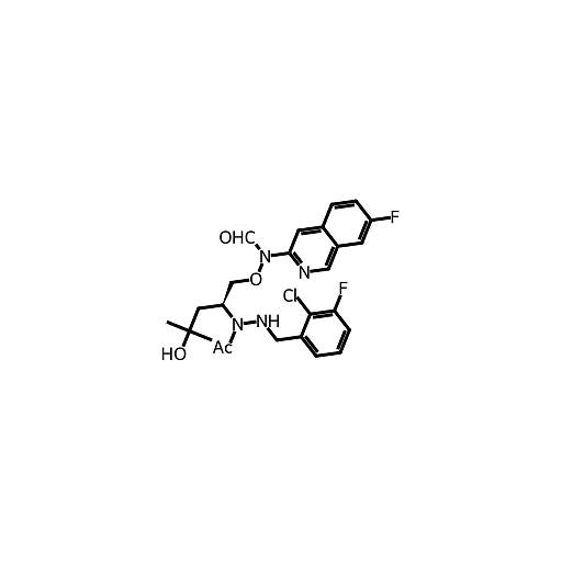 CC(=O)N(NCc1cccc(F)c1Cl)[C@H](CON(C=O)c1cc2ccc(F)cc2cn1)CC(C)(C)O